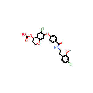 COc1cc(Cl)ccc1CCNC(=O)c1ccc(Oc2cc3c(cc2Cl)C(OC(=O)O)CCO3)cc1